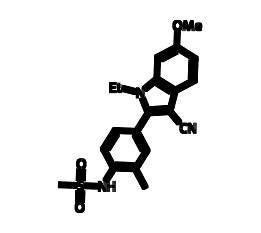 CCn1c(-c2ccc(NS(C)(=O)=O)c(C)c2)c(C#N)c2ccc(OC)cc21